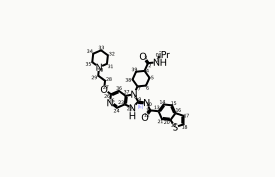 CC(C)NC(=O)C1CCC(n2/c(=N/C(=O)c3ccc4ccsc4c3)[nH]c3cnc(OCCN4CCCCC4)cc32)CC1